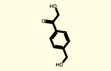 O=C(CO)c1ccc(CO)cc1